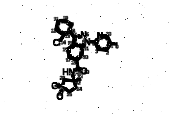 Cc1ccc(-n2nc(-c3ccccc3Cl)c3ccc(C(=O)NC4(C)CCS(=O)(=O)C4)cc32)nc1